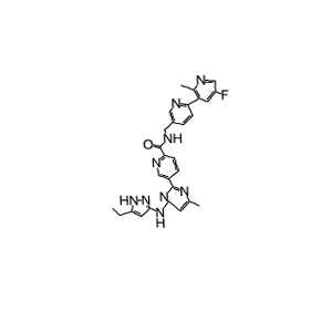 CCc1cc(Nc2cc(C)nc(-c3ccc(C(=O)NCc4ccc(-c5cc(F)cnc5C)nc4)nc3)n2)n[nH]1